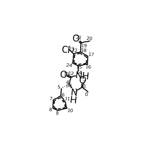 CC(=O)N[C@H](Cc1ccccc1)C(=O)Nc1ccc(C(C)=O)c(Cl)c1